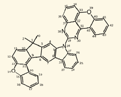 CC1(C)c2cc3c(cc2-c2c1ccc1oc4ccccc4c21)c1ccccc1n3-c1nc2c3c(cccc3n1)Oc1ccccc1-2